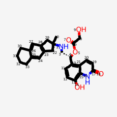 CC1(NC[C@H](OC(=O)CO)c2ccc(O)c3[nH]c(=O)ccc23)Cc2cc3c(cc2C1)CCCC3